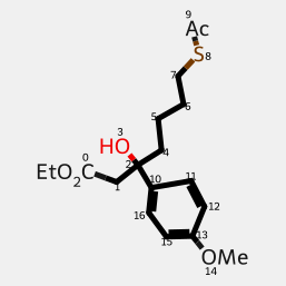 CCOC(=O)CC(O)(CCCCSC(C)=O)c1ccc(OC)cc1